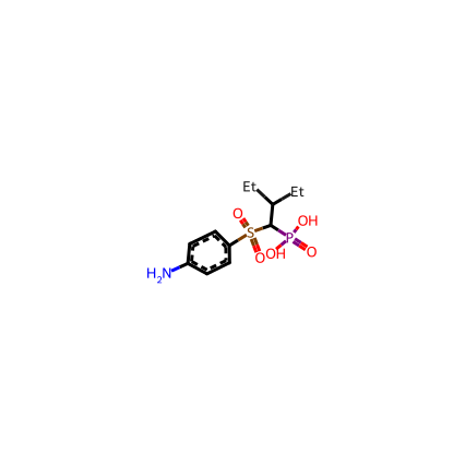 CCC(CC)C(P(=O)(O)O)S(=O)(=O)c1ccc(N)cc1